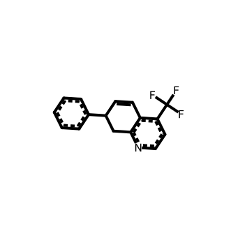 FC(F)(F)c1ccnc2c1C=CC(c1ccccc1)C2